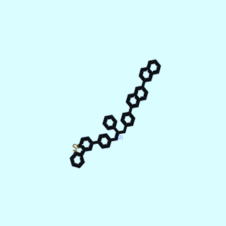 C(=C(\Cc1ccc(-c2ccc3cc(-c4ccc5ccccc5c4)ccc3c2)cc1)c1ccccc1)/c1ccc(-c2ccc3sc4ccccc4c3c2)cc1